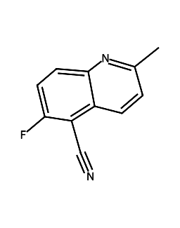 Cc1ccc2c(C#N)c(F)ccc2n1